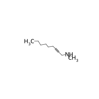 CCCCCCC#CCNC